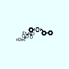 CCCCCCCCCCC(=O)OC(CC)n1c(=O)oc2c(N3CCN(Cc4cccc(-c5ccccc5)c4)CC3)cccc21